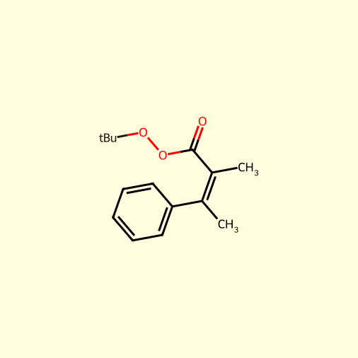 CC(C(=O)OOC(C)(C)C)=C(C)c1ccccc1